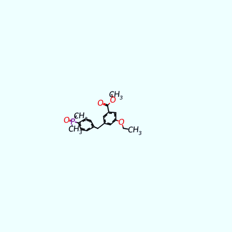 CCOc1cc(Cc2ccc(P(C)(C)=O)cc2)cc(C(=O)OC)c1